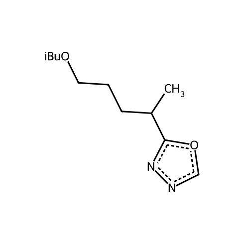 [CH2]C(C)COCCCC(C)c1nnco1